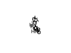 CC1CCC(CNc2cc3oc(=O)[nH]c3cc2F)C(C)O1